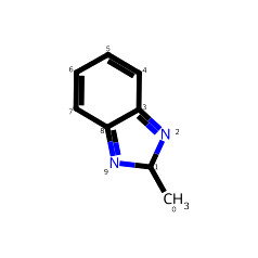 CC1N=c2ccccc2=N1